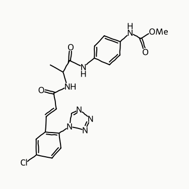 COC(=O)Nc1ccc(NC(=O)C(C)NC(=O)C=Cc2cc(Cl)ccc2-n2cnnn2)cc1